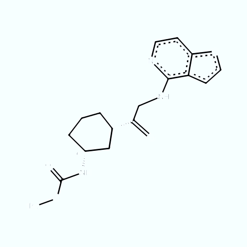 CC(C)(C)OC(=O)N[C@@H]1CCC[C@H](C(=O)CNc2nccc3occc23)C1